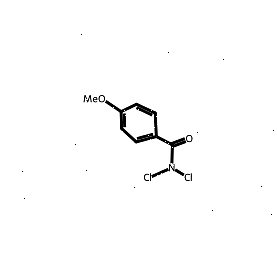 COc1ccc(C(=O)N(Cl)Cl)cc1